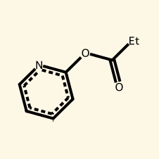 CCC(=O)Oc1c[c]ccn1